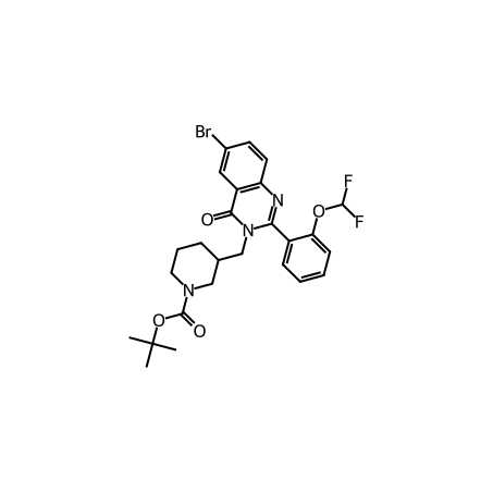 CC(C)(C)OC(=O)N1CCCC(Cn2c(-c3ccccc3OC(F)F)nc3ccc(Br)cc3c2=O)C1